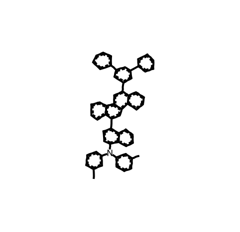 Cc1cccc(N(c2cccc(C)c2)c2ccc(-c3cc4c5ccccc5c(-c5cc(-c6ccccc6)cc(-c6ccccc6)c5)cc4c4ccccc34)c3ccccc23)c1